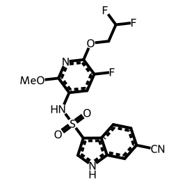 COc1nc(OCC(F)F)c(F)cc1NS(=O)(=O)c1c[nH]c2cc(C#N)ccc12